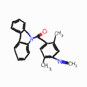 C=Nc1cc(C)c(C(=O)n2c3ccccc3c3ccccc32)cc1C